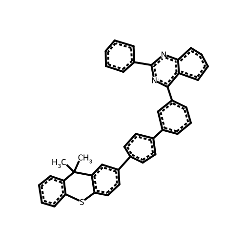 CC1(C)c2ccccc2Sc2ccc(-c3ccc(-c4cccc(-c5nc(-c6ccccc6)nc6ccccc56)c4)cc3)cc21